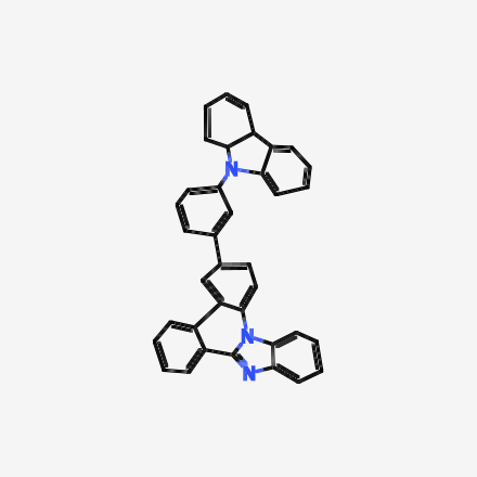 C1=CC2c3ccccc3N(c3cccc(-c4ccc5c(c4)c4ccccc4c4nc6ccccc6n54)c3)C2C=C1